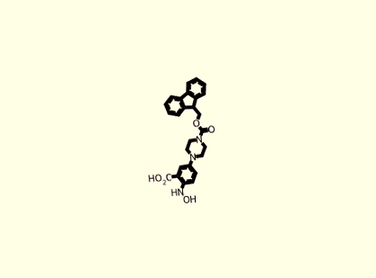 O=C(O)c1cc(N2CCN(C(=O)OCC3c4ccccc4-c4ccccc43)CC2)ccc1NO